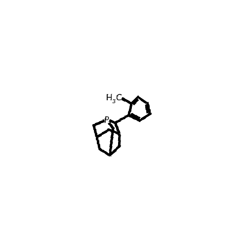 Cc1ccccc1C1C2CC3CC(C2)CP1C3